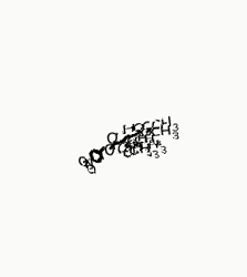 CC(C)(C)OC(=O)CC=C(O[Si](C)(C)C(C)(C)C)C(=O)OCc1ccc([N+](=O)[O-])cc1